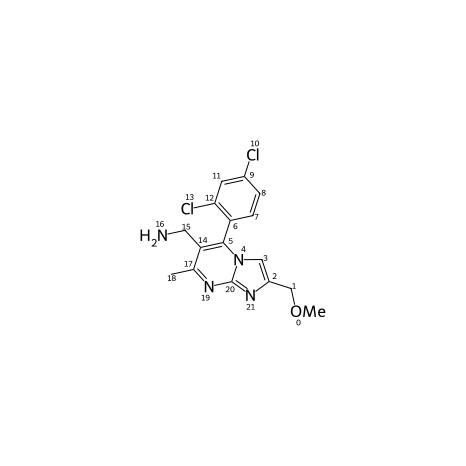 COCc1cn2c(-c3ccc(Cl)cc3Cl)c(CN)c(C)nc2n1